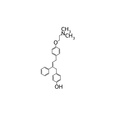 CN(C)CCOc1ccc(C/C=C(\Cc2ccc(O)cc2)c2ccccc2)cc1